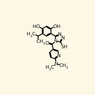 CC(C)c1cc(-c2nnc(S)n2C(=O)c2ccc(N(C)C)nc2)c(O)cc1O